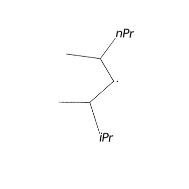 CCCC(C)[CH]C(C)C(C)C